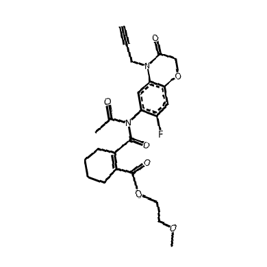 C#CCN1C(=O)COc2cc(F)c(N(C(C)=O)C(=O)C3=C(C(=O)OCCOC)CCCC3)cc21